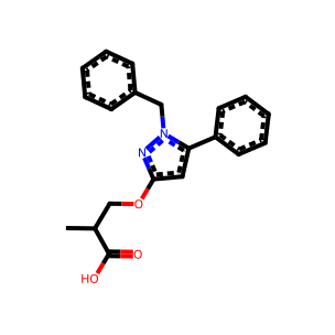 CC(COc1cc(-c2ccccc2)n(Cc2ccccc2)n1)C(=O)O